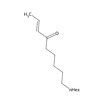 CC=CC(=O)CCCCCCCCCCC